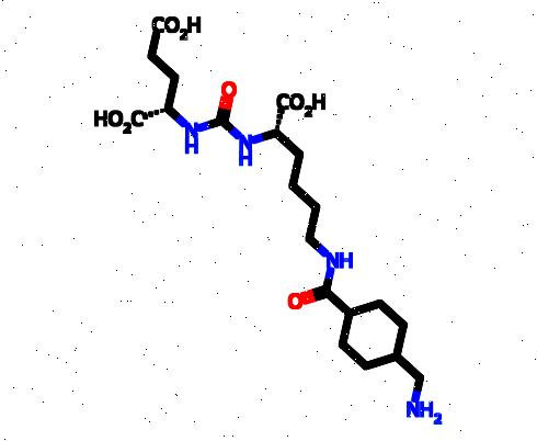 NCC1CCC(C(=O)NCCCC[C@H](NC(=O)N[C@@H](CCC(=O)O)C(=O)O)C(=O)O)CC1